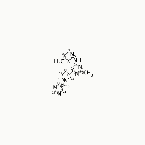 Cc1ccnc(Nc2cc(C3CCCN(Cc4cncnc4)C3)nc(C)n2)c1